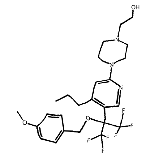 CCCc1cc(N2CCN(CCO)CC2)ncc1C(OCc1ccc(OC)cc1)(C(F)(F)F)C(F)(F)F